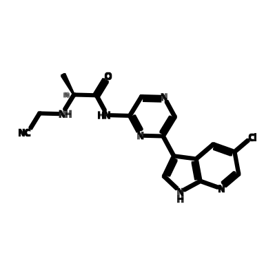 C[C@H](NCC#N)C(=O)Nc1cncc(-c2c[nH]c3ncc(Cl)cc23)n1